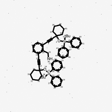 CC(C)(C)[Si](OC1(C#Cc2cccc(C#CC3(O[Si](c4ccccc4)(c4ccccc4)C(C)(C)C)CCCCC3)c2CN)CCCCC1)(c1ccccc1)c1ccccc1